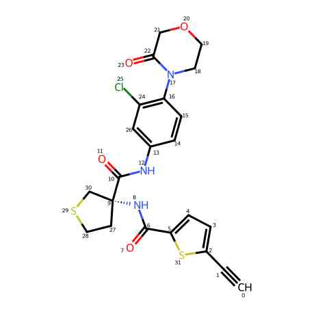 C#Cc1ccc(C(=O)N[C@]2(C(=O)Nc3ccc(N4CCOCC4=O)c(Cl)c3)CCSC2)s1